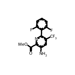 COC(=O)c1nc(-c2c(F)cccc2F)c(C(F)(F)F)cc1N